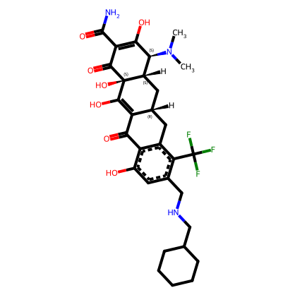 CN(C)[C@@H]1C(O)=C(C(N)=O)C(=O)[C@@]2(O)C(O)=C3C(=O)c4c(O)cc(CNCC5CCCCC5)c(C(F)(F)F)c4C[C@H]3C[C@@H]12